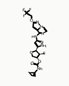 O=C(NC12CC(C1)C2)O[C@H]1CO[C@@H](c2cc(Nc3nccn4nc(OCC(F)(F)F)cc34)n[nH]2)[C@H]1F